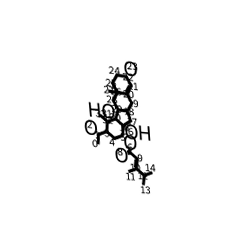 CC(=O)C1CC(OC(=O)/C=C(\C)C(C)C)C2(O)CC3CC4=CC(=O)CCC4(C)CC3C2(O)C1C